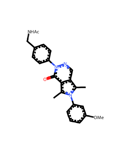 COc1cccc(-n2c(C)c3cnn(-c4ccc(CNC(C)=O)cc4)c(=O)c3c2C)c1